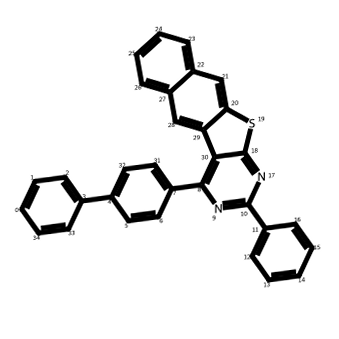 c1ccc(-c2ccc(-c3nc(-c4ccccc4)nc4sc5cc6ccccc6cc5c34)cc2)cc1